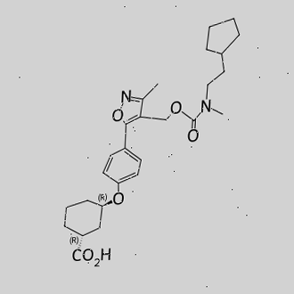 Cc1noc(-c2ccc(O[C@@H]3CCC[C@@H](C(=O)O)C3)cc2)c1COC(=O)N(C)CCC1CCCC1